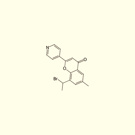 Cc1cc(C(C)Br)c2oc(-c3ccncc3)cc(=O)c2c1